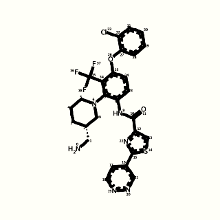 NC[C@@H]1CCCN(c2c(NC(=O)c3csc(-c4ccnnc4)n3)ccc(Oc3ccccc3Cl)c2C(F)(F)F)C1